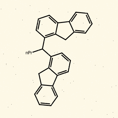 CCCC(c1cccc2c1Cc1ccccc1-2)c1cccc2c1Cc1ccccc1-2